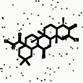 CCNC(=O)[C@]12CCC(C)(C)CC1C1C(=O)CC3[C@@]4(C)C=C(C#N)C(=O)[C@@H](C)C4CC[C@@]3(C)[C@]1(C)CC2